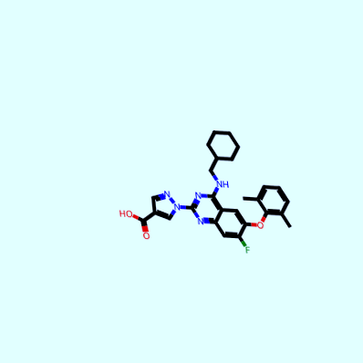 Cc1cccc(C)c1Oc1cc2c(NCC3CCCCC3)nc(-n3cc(C(=O)O)cn3)nc2cc1F